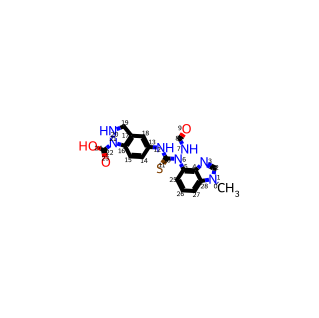 Cn1cnc2c(N(NC=O)C(=S)Nc3ccc4c(c3)CNN4C(=O)O)cccc21